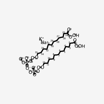 O=C(CCCCCCCCCCCOOOS(=O)(=O)O[O-])OO.O=C(CCCCCCCCCCCOOOS(=O)(=O)O[O-])OO.[K+].[Na+]